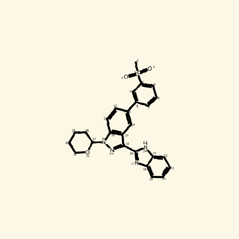 CS(=O)(=O)c1cccc(-c2ccc3c(c2)c(-c2nc4ccccc4[nH]2)nn3C2CCCCO2)c1